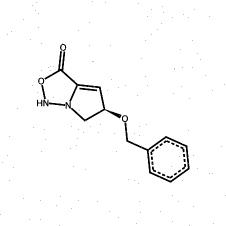 O=C1ONN2C[C@H](OCc3ccccc3)C=C12